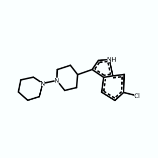 Clc1ccc2c(C3CCN(N4CCCCC4)CC3)c[nH]c2c1